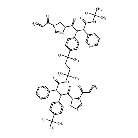 C=CC(=O)N1C=NC(C(=O)N(c2ccc(C(C)(C)CCC(C)(C)NC(=O)C(c3cccnc3)N(C(=O)C3CN=CN3C(=O)C=C)c3ccc(C(C)(C)C)cc3)cc2)C(C(=O)NC(C)(C)C)c2cccnc2)C1